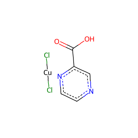 O=C(O)c1cnccn1.[Cl][Cu][Cl]